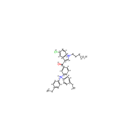 CC(C)Cc1ccc([N+](C)(c2ccc(CC(C)C)cc2)c2cccc(C(=O)c3cn(CCCC(=O)O)c4ccc(Cl)cc34)c2)cc1